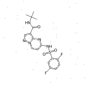 CC(C)(C)NC(=O)c1cnn2ccc(NS(=O)(=O)c3cc(F)ccc3F)nc12